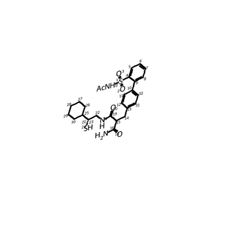 CC(=O)NS(=O)(=O)c1ccccc1-c1ccc(CC(C(N)=O)C(=O)NC[C@@H](S)C2CCCCC2)cc1